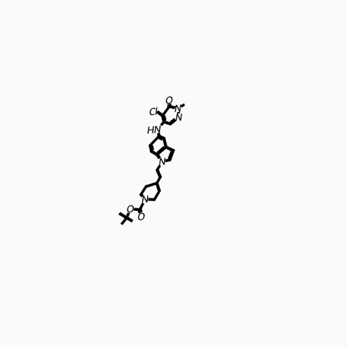 Cn1ncc(Nc2ccc3c(ccn3CCC3CCN(C(=O)OC(C)(C)C)CC3)c2)c(Cl)c1=O